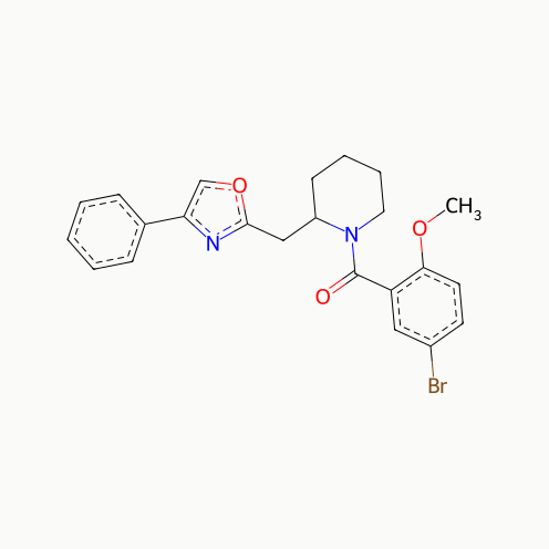 COc1ccc(Br)cc1C(=O)N1CCCCC1Cc1nc(-c2ccccc2)co1